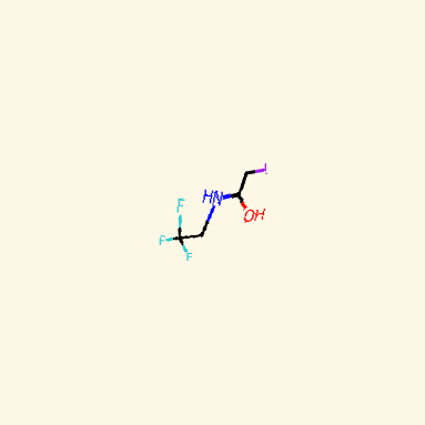 OC(CI)NCC(F)(F)F